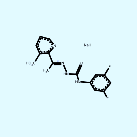 C/C(=N\NC(=O)Nc1cc(F)cc(F)c1)c1ncccc1C(=O)O.[NaH]